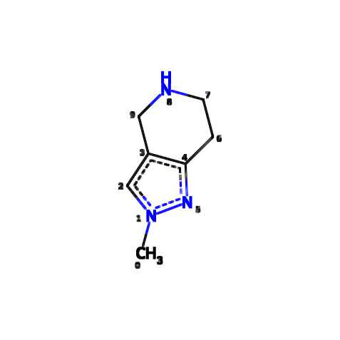 Cn1cc2c(n1)CCNC2